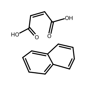 O=C(O)/C=C\C(=O)O.c1ccc2ccccc2c1